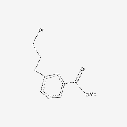 COC(=O)c1cccc(CCCBr)c1